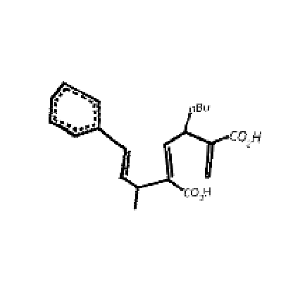 C=C(C(=O)O)C(C=C(C(=O)O)C(C)C=Cc1ccccc1)CCCC